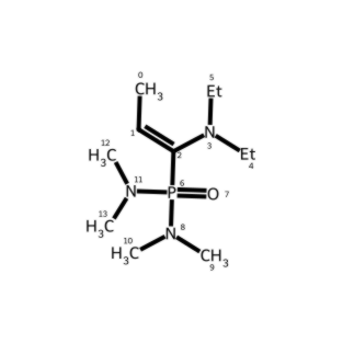 CC=C(N(CC)CC)P(=O)(N(C)C)N(C)C